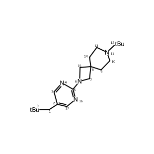 CC(C)(C)Cc1cnc(N2CC3(CCN(C(C)(C)C)CC3)C2)nc1